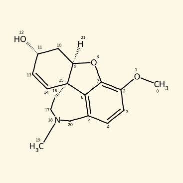 COc1ccc2c3c1O[C@@H]1C[C@@H](O)C=C[C@]31CCN(C)C2